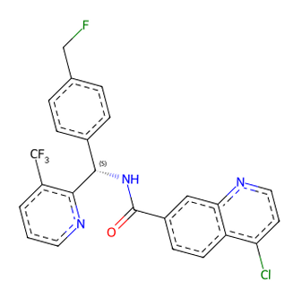 O=C(N[C@@H](c1ccc(CF)cc1)c1ncccc1C(F)(F)F)c1ccc2c(Cl)ccnc2c1